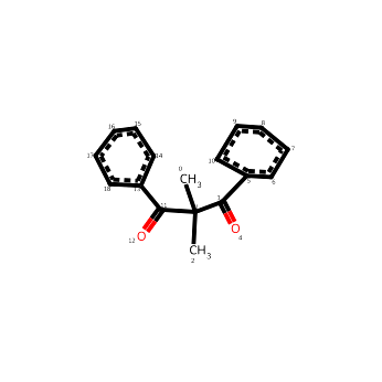 CC(C)(C(=O)c1ccccc1)C(=O)c1ccccc1